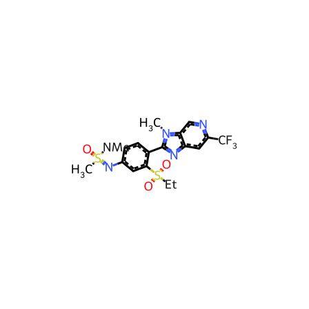 CCS(=O)(=O)c1cc(N=S(C)(=O)NC)ccc1-c1nc2cc(C(F)(F)F)ncc2n1C